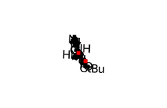 Cc1cn2cc(NC(=O)c3ccc(N4CCN(C(=O)OC(C)(C)C)CC4)c4cc(C)[nH]c34)c(F)c2c(C)n1